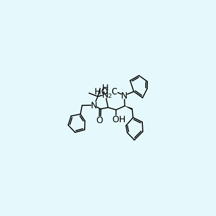 CC1(C)NC(C(O)[C@H](Cc2ccccc2)N(C(=O)O)c2ccccc2)C(=O)N1Cc1ccccc1